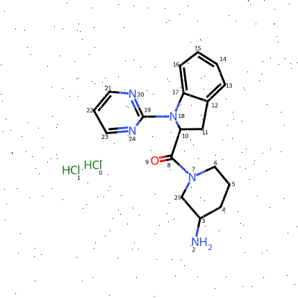 Cl.Cl.NC1CCCN(C(=O)C2Cc3ccccc3N2c2ncccn2)C1